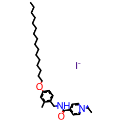 CCCCCCCCCCCCCCCCOc1ccc(CNC(=O)c2cc[n+](CC)cc2)c(C)c1.[I-]